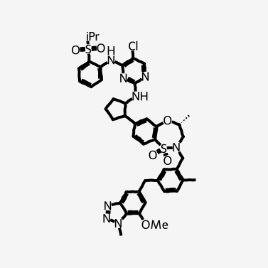 COc1cc(Cc2ccc(C)c(CN3C[C@@H](C)Oc4cc(C5CCCC5Nc5ncc(Cl)c(Nc6ccccc6S(=O)(=O)C(C)C)n5)ccc4S3(=O)=O)c2)cc2nnn(C)c12